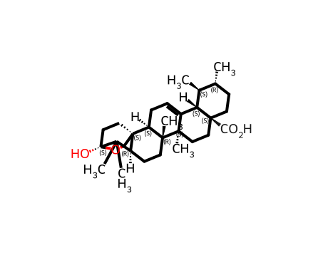 C[C@H]1[C@H](C)CC[C@]2(C(=O)O)CC[C@]3(C)C(=CC[C@@H]4[C@]56CC[C@](O)(OC5)C(C)(C)[C@@H]6CC[C@]43C)[C@H]12